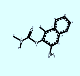 Cc1c(OC(=O)N(C)C)c(N)cc2ccccc12